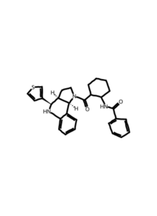 O=C(NC1CCCCC1C(=O)N1CC[C@@H]2[C@H](c3ccsc3)Nc3ccccc3[C@@H]21)c1ccccc1